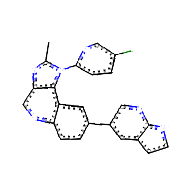 Cc1nc2cnc3ccc(-c4cnc5[nH]ccc5c4)cc3c2n1-c1ccc(F)cn1